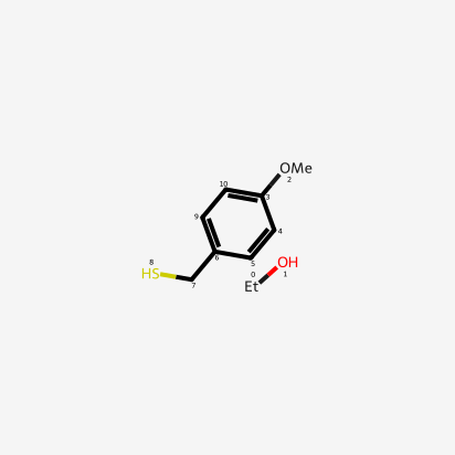 CCO.COc1ccc(CS)cc1